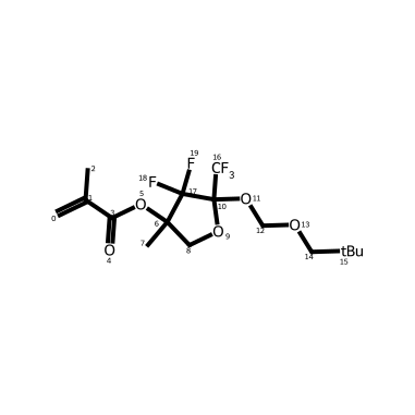 C=C(C)C(=O)OC1(C)COC(OCOCC(C)(C)C)(C(F)(F)F)C1(F)F